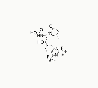 C[C@H]1CCC(=O)N(C[C@H](CC(O)N2CCc3c(nc(C(F)(F)F)nc3C(F)(F)F)C2)NC(=O)O)C1